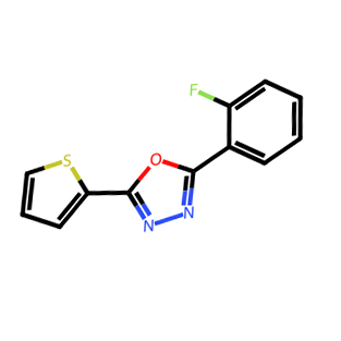 Fc1ccccc1-c1nnc(-c2cccs2)o1